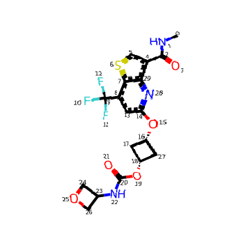 CNC(=O)c1csc2c(C(F)(F)F)cc(O[C@H]3C[C@@H](OC(=O)NC4COC4)C3)nc12